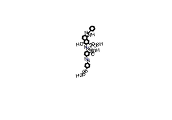 O=S(=O)(O)c1cc(/N=N/c2ccc(SOOO)cc2)ccc1/N=N/c1c(SOOO)cc2c(ccc3nc(-c4ccccc4)[nH]c32)c1O